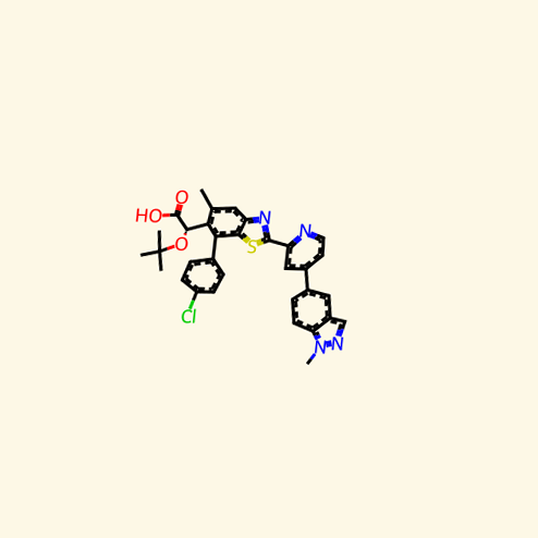 Cc1cc2nc(-c3cc(-c4ccc5c(cnn5C)c4)ccn3)sc2c(-c2ccc(Cl)cc2)c1[C@H](OC(C)(C)C)C(=O)O